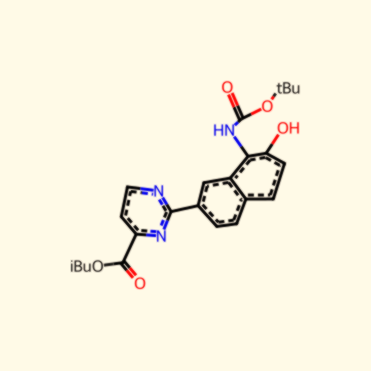 CC(C)COC(=O)c1ccnc(-c2ccc3ccc(O)c(NC(=O)OC(C)(C)C)c3c2)n1